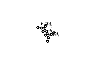 CC(C)(C)c1ccc(N(c2ccc(-c3ccccc3)cc2)c2cc3c(c4ccccc24)-c2c(cc(N(c4ccc(-c5ccccc5)cc4)c4ccc(C(C)(C)C)cc4)c4ccccc24)C3(C)C)cc1